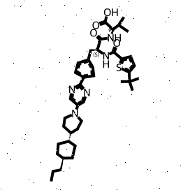 CCC[C@H]1CC[C@H](C2CCN(c3cnc(-c4ccc(C[C@H](NC(=O)c5ccc(C(C)(C)C)s5)C(=O)N[C@@H](C(=O)O)C(C)C)cc4)nc3)CC2)CC1